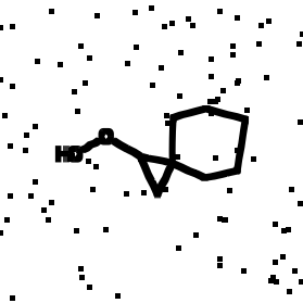 OOC1CC12CCCCC2